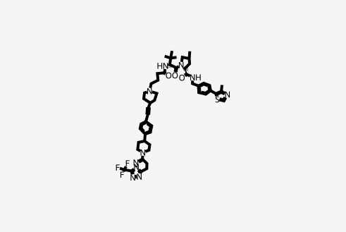 Cc1ncsc1-c1ccc(CNC(=O)[C@@H]2CC(C)CN2C(=O)[C@@H](NC(=O)CCCN2CCC(C#Cc3ccc(C4CCN(C5=Nn6c(nnc6C(F)(F)F)CC5)CC4)cc3)CC2)C(C)(C)C)cc1